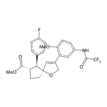 COC(=O)[C@H]1CC[C@@]2(C=C(c3cc(NC(=O)C(F)(F)F)ccc3OC)CO2)[C@@H]1c1ccc(F)cc1